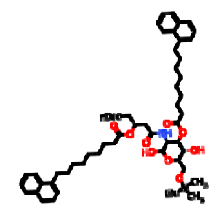 CCCCCCCCCCC[C@@H](CC(=O)N[C@H]1C(O)O[C@H](CO[Si](C)(C)C(C)(C)C)[C@@H](O)[C@@H]1OC(=O)CCCCCCCCc1cccc2ccccc12)OC(=O)CCCCCCCCc1cccc2ccccc12